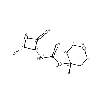 C[C@@H]1OC(=O)[C@@H]1NC(=O)OC1(C)CCOCC1